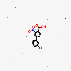 O=C(O)c1ccc(-c2cccc(Cl)c2)cc1[N+](=O)[O-]